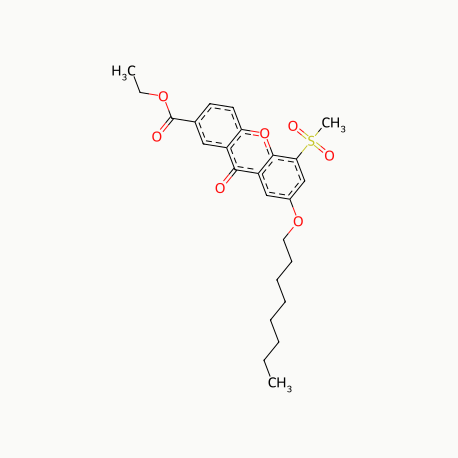 CCCCCCCCOc1cc(S(C)(=O)=O)c2oc3ccc(C(=O)OCC)cc3c(=O)c2c1